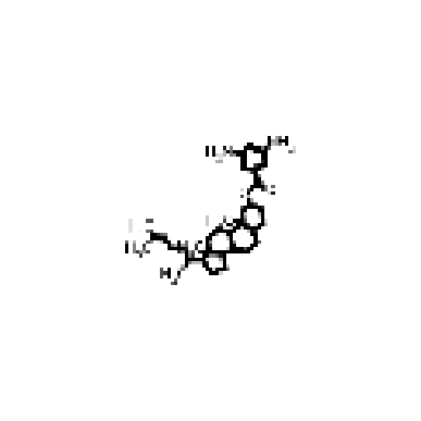 CC(C)=CCCC(C)C1CCC2C3CCC4CCC(OC(=O)c5cc(N)cc(N)c5)CC4(C)C3CCC12C